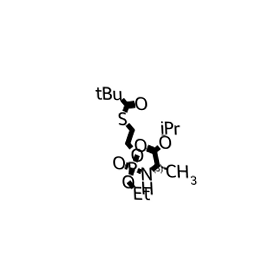 CCOP(=O)(N[C@@H](C)C(=O)OC(C)C)OCCSC(=O)C(C)(C)C